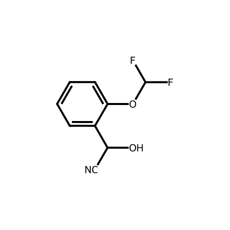 N#CC(O)c1ccccc1OC(F)F